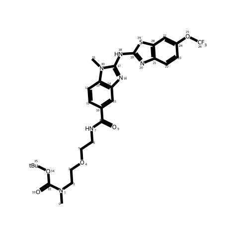 CN(CCOCCNC(=O)c1ccc2c(c1)nc(Nc1nc3ccc(OC(F)(F)F)cc3s1)n2C)C(=O)OC(C)(C)C